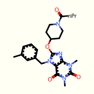 CCCC(=O)N1CCC(Oc2nc3c(c(=O)n(C)c(=O)n3C)n2Cc2cccc(C)c2)CC1